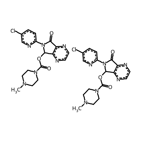 CN1CCN(C(=O)OC2c3nccnc3C(=O)N2c2ccc(Cl)cn2)CC1.CN1CCN(C(=O)OC2c3nccnc3C(=O)N2c2ccc(Cl)cn2)CC1